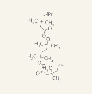 CC(C)CC(C)(C)CC(=O)OOC(C)(C)CCC(C)(C)OOC(=O)CC(C)(C)CC(C)C